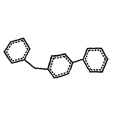 [c]1ccc(-c2ccc(Cc3ccccc3)cc2)cc1